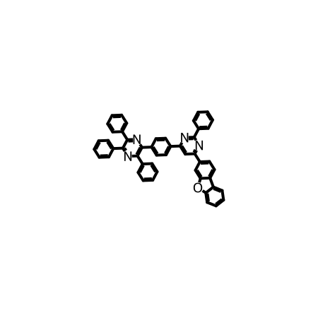 c1ccc(-c2nc(-c3ccc(-c4nc(-c5ccccc5)c(-c5ccccc5)nc4-c4ccccc4)cc3)cc(-c3ccc4c(c3)oc3ccccc34)n2)cc1